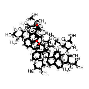 CC(C(=O)N(C)C(=O)O)N(c1ccc2c3c(cccc13)C=CC2(CN(CC1(N(C(C)C(=O)N(C)C(=O)O)C(C)C(=O)N(C)C(=O)O)C=Cc2cccc3c(N(C(C)C(=O)N(C)C(=O)O)C(C)C(=O)N(C)C(=O)O)c(C(C)(C)C)cc1c23)c1ccccc1)N(C(C)C(=O)N(C)C(=O)O)C(C)C(=O)N(C)C(=O)O)C(C)C(=O)N(C)C(=O)O